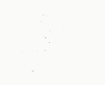 CON(C)C(=O)c1nc(NC(=O)c2c(F)cccc2F)sc1-c1cccc(C)c1